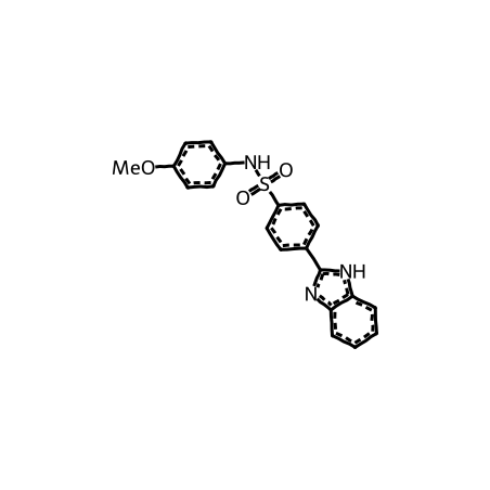 COc1ccc(NS(=O)(=O)c2ccc(-c3nc4ccccc4[nH]3)cc2)cc1